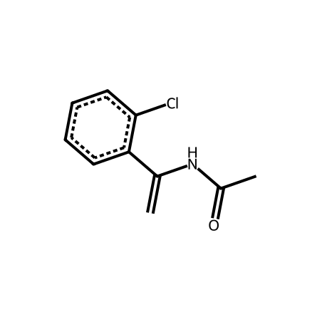 C=C(NC(C)=O)c1ccccc1Cl